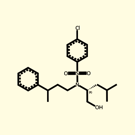 CC(C)C[C@H](CO)N(CCC(C)c1ccccc1)S(=O)(=O)c1ccc(Cl)cc1